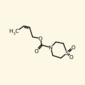 C/C=C\COC(=O)N1CCS(=O)(=O)CC1